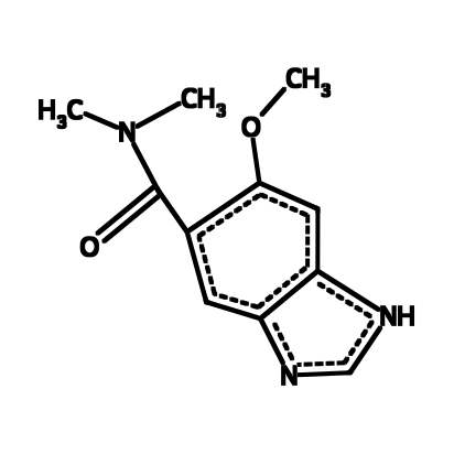 COc1cc2[nH]cnc2cc1C(=O)N(C)C